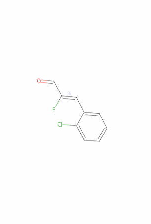 O=C/C(F)=C/c1ccccc1Cl